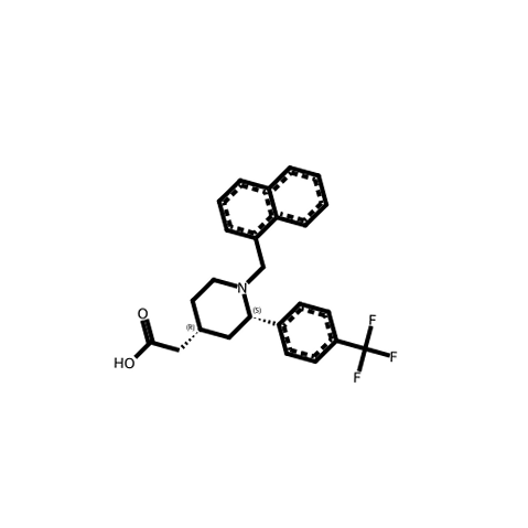 O=C(O)C[C@@H]1CCN(Cc2cccc3ccccc23)[C@H](c2ccc(C(F)(F)F)cc2)C1